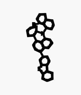 Brc1cccc2cccc(N3c4ccccc4-c4ccc(-c5ccc6c(c5)sc5ccccc56)c5cccc3c45)c12